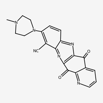 CN1CCN(c2ccc3nc4c(nc3c2C#N)C(=O)c2ncccc2C4=O)CC1